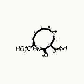 O=C1NC(C(=O)O)CCCCSCC1CS